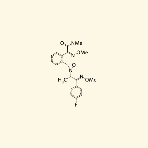 CNC(=O)C(=NOC)c1ccccc1C1ON1C(C)C(=NOC)c1ccc(F)cc1